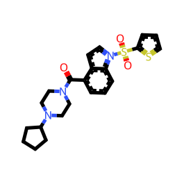 O=C(c1cccc2c1ccn2S(=O)(=O)c1cccs1)N1CCN(C2CCCC2)CC1